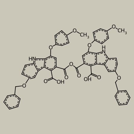 COc1ccc(Oc2cc(C(=O)OC(=O)c3cc(Oc4ccc(OC)cc4)c4[nH]c5ccc(OCc6ccccc6)cc5c4c3C(=O)O)c(C(=O)O)c3c2[nH]c2ccc(OCc4ccccc4)cc23)cc1